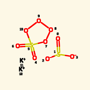 O=S([O-])[O-].O=S1(=O)OOOO1.[K+].[K+]